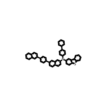 c1ccc(-c2ccc(N(c3ccc4ccc(-c5ccc(-c6ccc7ccccc7c6)cc5)cc4c3)c3ccc4sc5ccccc5c4c3)cc2)cc1